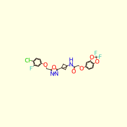 O=C(COc1ccc2c(c1)OC(F)(F)O2)NC12CC(c3nnc(COc4ccc(Cl)c(F)c4)o3)(C1)C2